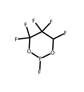 FC1OP(F)OC(F)(F)C1(F)F